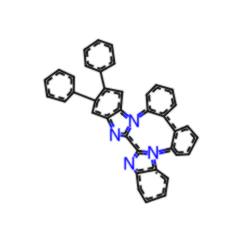 c1ccc(-c2cc3nc4c5nc6ccccc6n5c5ccccc5c5ccccc5n4c3cc2-c2ccccc2)cc1